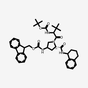 CC(C)(C)OC(=O)NC(C(=O)N1CC(NC(=O)OCC2c3ccccc3-c3ccccc32)C[C@H]1C(=O)NC1CCCc2ccccc21)C(C)(C)C